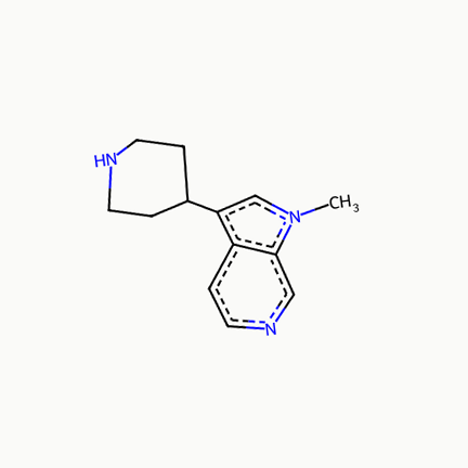 Cn1cc(C2CCNCC2)c2ccncc21